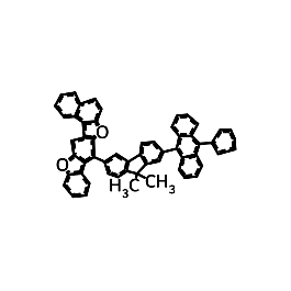 CC1(C)c2ccc(-c3c4oc5ccc6ccccc6c5c4cc4oc5ccccc5c34)cc2-c2ccc(-c3c4ccccc4c(-c4ccccc4)c4ccccc34)cc21